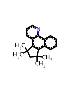 CC1(C)CC(C)(C)c2c1c1ccccc1c1ncccc21